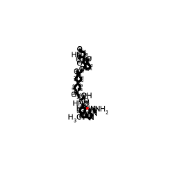 CN(Cc1cnc2nc(N)nc(N)c2n1)c1ccc(C(=O)N[C@H](CCC(=O)N2CCC(C3CCN(C(=O)COc4cccc5c4C(=O)N(C4CCC(=O)NC4=O)C5=O)CC3)CC2)C(=O)O)cc1